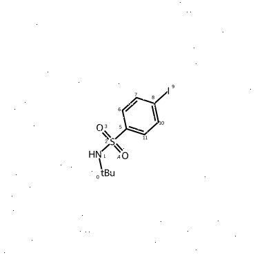 CC(C)(C)NS(=O)(=O)c1ccc(I)cc1